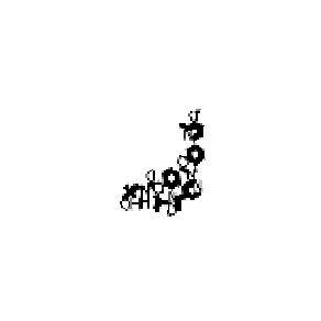 COc1ccc([C@H]2CC[C@H](CN(c3cc(-c4coc(C(C)C)n4)ccn3)C(=O)[C@H]3CC[C@H](OC(=O)NCC(C)(C)CO)CC3)CC2)nc1C